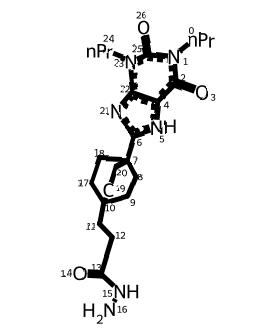 CCCn1c(=O)c2[nH]c(C34CCC(CCC(=O)NN)(CC3)CC4)nc2n(CCC)c1=O